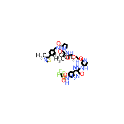 Cc1ncsc1-c1ccc(CNC(=O)[C@@H]2CCCN2C(=O)[C@@H](NC(=O)COCCOc2cc(Nc3[nH]nc(-c4ccc(NS(=O)(=O)CC(F)(F)F)cc4)c3C(N)=O)ccn2)C(C)(C)C)cc1